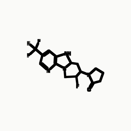 O=C1CCCN1C1CC2Nc3cc(C(F)(F)F)cnc3N2CC1F